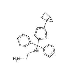 NCCNC(c1ccccc1)(c1ccccc1)c1ccc(C23C=C2CC3)cc1